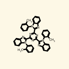 Cc1ccccc1-n1c(-c2nc(-c3nc4ccccc4n3-c3ccccc3C)nc(-c3nc4ccccc4n3-c3ccccc3C)n2)nc2ccccc21